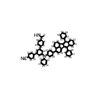 CC(=N)c1ccc(-c2cc(-c3ccc(C#N)cc3)cc(N(c3ccccc3)c3ccc(-c4ccc5c6c(cccc46)-c4c-5c(-c5ccccc5)c5ccccc5c4-c4ccccc4)cc3)c2)cc1